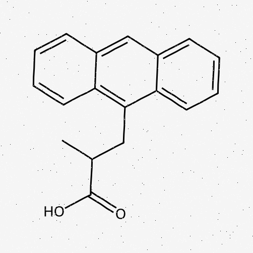 CC(Cc1c2ccccc2cc2ccccc12)C(=O)O